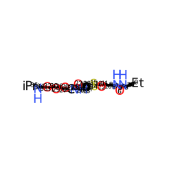 CCC#CCNC(=O)NCCCCOCSSc1ccc(CC(=O)NCCOCCOCCOCCNC(C)C)cc1